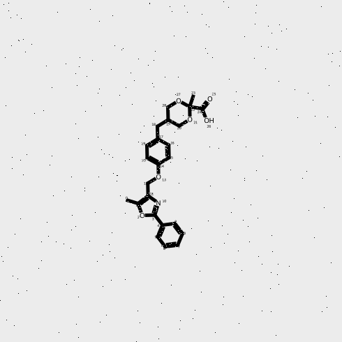 Cc1oc(-c2ccccc2)nc1COc1ccc(CC2COC(C)(C(=O)O)OC2)cc1